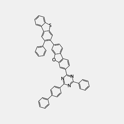 c1ccc(-c2ccc(-c3nc(-c4ccccc4)nc(-c4ccc5c(c4)oc4cc(-c6cc7sc8ccccc8c7cc6-c6ccccc6)ccc45)n3)cc2)cc1